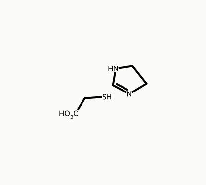 C1=NCCN1.O=C(O)CS